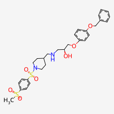 CS(=O)(=O)c1ccc(S(=O)(=O)N2CCC(CNC[C@H](O)COc3ccc(OCc4ccccc4)cc3)CC2)cc1